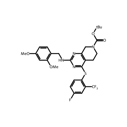 COc1ccc(CNc2nc3c(c(Sc4ccc(F)cc4C(F)(F)F)n2)CCN(C(=O)OC(C)(C)C)C3)c(OC)c1